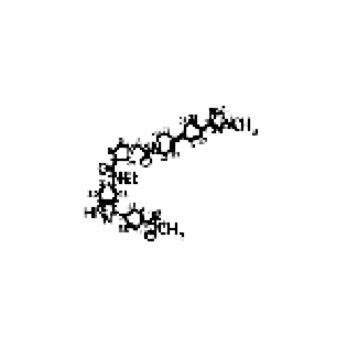 CCN(C(=O)C1CCN(CC(=O)N2CC=C(c3ccc(-c4ncn(C)n4)cc3)CC2)C1)c1ccc2[nH]nc(-c3ccc(S(C)(=O)=O)cc3)c2c1